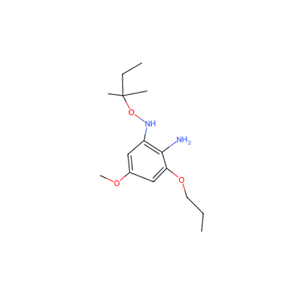 CCCOc1cc(OC)cc(NOC(C)(C)CC)c1N